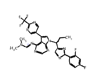 CCC(C1=NC(c2ccc(F)cc2F)N=C1)n1cc(-c2cnc(C(F)(F)F)nc2)c2c(/N=C/N(C)C)ncnc21